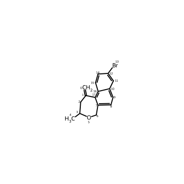 C=C1CC(C)OCc2ccc3cc(Br)ccc3c21